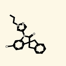 CCCn1cc(N2C(=O)C3(Cc4ccccc4C3)c3ccc(Cl)cc32)cn1